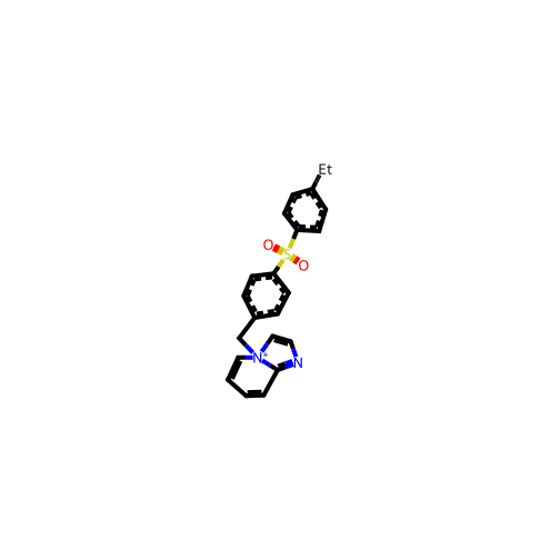 CCc1ccc(S(=O)(=O)c2ccc(C[N+]34C=CC=CC3=NC=C4)cc2)cc1